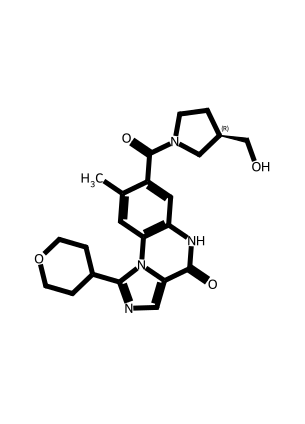 Cc1cc2c(cc1C(=O)N1CC[C@@H](CO)C1)[nH]c(=O)c1cnc(C3CCOCC3)n12